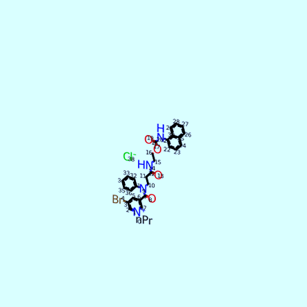 CCC[n+]1cc(Br)cc(C(=O)N(CCC(=O)NCCOC(=O)Nc2cccc3ccccc23)c2ccccc2)c1.[Cl-]